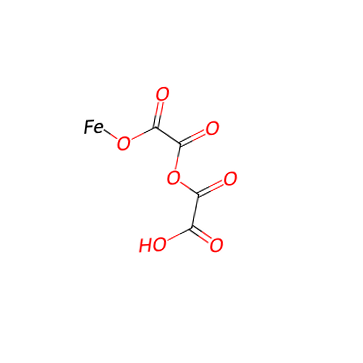 O=C(O)C(=O)OC(=O)C(=O)[O][Fe]